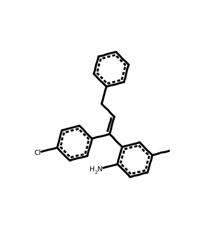 Cc1ccc(N)c(C(=CCc2ccccc2)c2ccc(Cl)cc2)c1